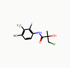 CC(O)(CBr)C(=O)Nc1ccc(C#N)c(C(F)(F)F)c1I